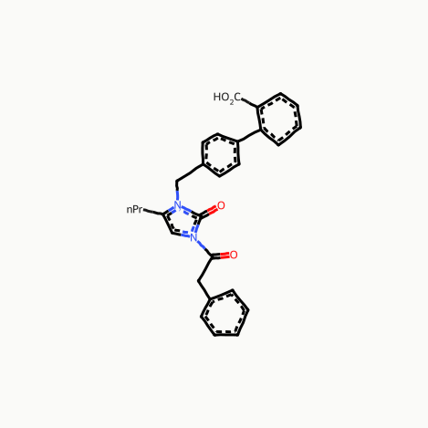 CCCc1cn(C(=O)Cc2ccccc2)c(=O)n1Cc1ccc(-c2ccccc2C(=O)O)cc1